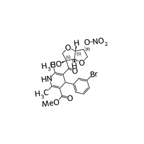 COC(=O)C1=C(C)NC(C)=C(C(=O)[C@]2(O)CO[C@@H]3[C@H](O[N+](=O)[O-])CO[C@@H]32)C1c1cccc(Br)c1